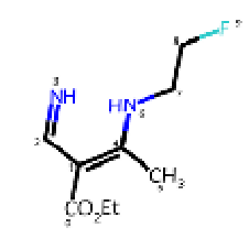 CCOC(=O)/C(C=N)=C(\C)NCCF